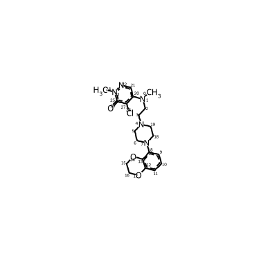 CN(CCN1CCN(c2cccc3c2OCCO3)CC1)c1cnn(C)c(=O)c1Cl